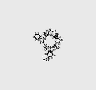 O=C1C[C@H](Cc2ccccc2)NC(=O)[C@@H]2CCCN2C(=O)[C@@H]2CCCN2C(=O)[C@H](Cc2ccc(O)cc2)N1